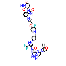 Cn1c(=O)n(C2CCC(=O)NC2=O)c2cccc(N3CC(CO[C@H]4CCN(C[C@H]5CC[C@H](n6cc(NC(=O)/C(C=N)=C7\N=C(N8C[C@H]9CC8CO9)C=CN7)c(C(F)F)n6)CC5)C[C@@H]4F)C3)c21